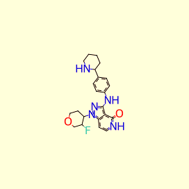 O=c1[nH]ccc2c1c(Nc1ccc(C3CCCCN3)cc1)nn2C1CCOCC1F